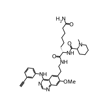 C#Cc1cccc(Nc2ncnc3cc(OC)c(CCNC(=O)[C@H](CCCCCC(N)=O)NC(=O)C4CCCCN4C)cc23)c1